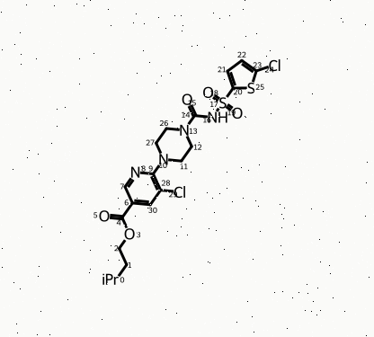 CC(C)CCOC(=O)c1cnc(N2CCN(C(=O)NS(=O)(=O)c3ccc(Cl)s3)CC2)c(Cl)c1